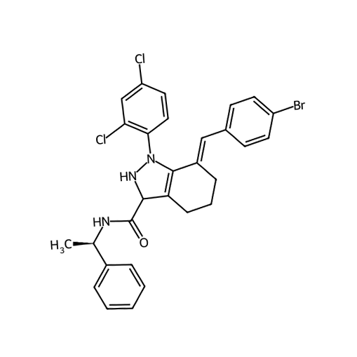 C[C@@H](NC(=O)C1NN(c2ccc(Cl)cc2Cl)C2=C1CCC/C2=C\c1ccc(Br)cc1)c1ccccc1